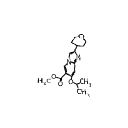 COC(=O)c1cn2cc(C3CCOCC3)nc2cc1OC(C)C